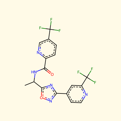 CC(NC(=O)c1ccc(C(F)(F)F)cn1)c1nc(-c2ccnc(C(F)(F)F)c2)no1